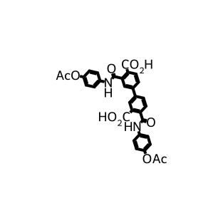 CC(=O)Oc1ccc(NC(=O)c2ccc(-c3ccc(C(=O)O)c(C(=O)Nc4ccc(OC(C)=O)cc4)c3)cc2C(=O)O)cc1